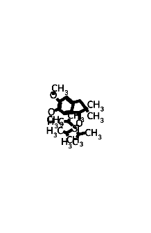 COc1cc2c(cc1OC)C(O[Si](C(C)C)(C(C)C)C(C)C)C(C)(C)C2